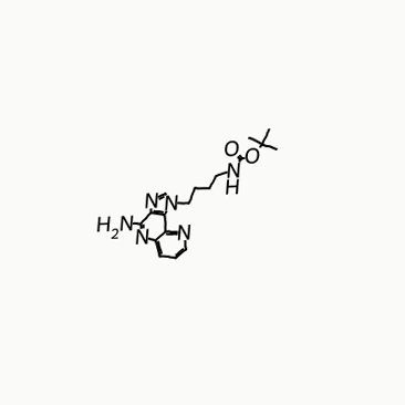 CC(C)(C)OC(=O)NCCCCn1cnc2c(N)nc3cccnc3c21